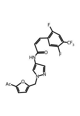 CC(=O)c1ccc(Cn2cc(NC(=O)/C=C\c3cc(F)c(C(F)(F)F)cc3F)cn2)o1